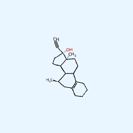 C#C[C@]1(O)CCC2C3C(CC[C@@]21C)C1=C(CCCC1)C[C@H]3C